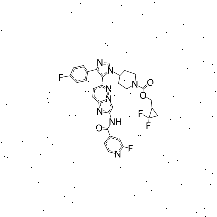 O=C(Nc1cn2nc(-c3c(-c4ccc(F)cc4)ncn3C3CCN(C(=O)OCC4CC4(F)F)CC3)ccc2n1)c1ccnc(F)c1